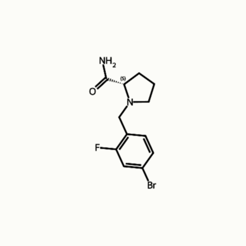 NC(=O)[C@@H]1CCCN1Cc1ccc(Br)cc1F